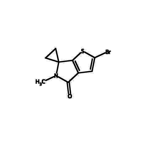 CN1C(=O)c2cc(Br)sc2C12CC2